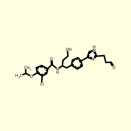 CC(C)Oc1ccc(C(=O)NC(CCO)Cc2ccc(-c3c[nH]c(CCC=O)n3)cc2)cc1Cl